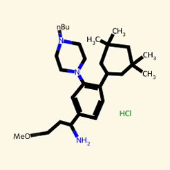 CCCCN1CCN(c2cc(C(N)CCOC)ccc2C2CC(C)(C)CC(C)(C)C2)CC1.Cl